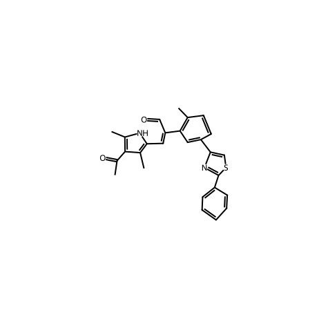 CC(=O)c1c(C)[nH]c(/C=C(\C=O)c2cc(-c3csc(-c4ccccc4)n3)ccc2C)c1C